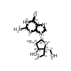 Nc1nc2c(ncn2[C@@H]2O[C@@](CO)(CF)[C@@H](O)[C@@H]2F)c(=O)[nH]1